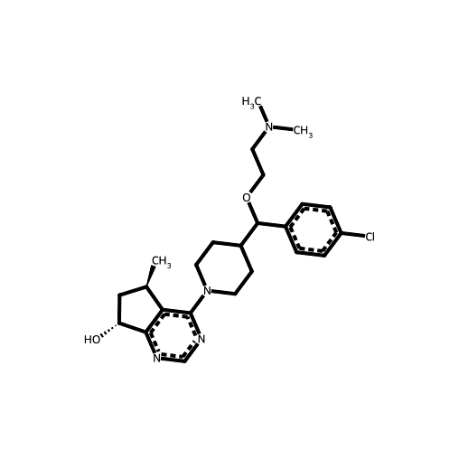 C[C@@H]1C[C@@H](O)c2ncnc(N3CCC(C(OCCN(C)C)c4ccc(Cl)cc4)CC3)c21